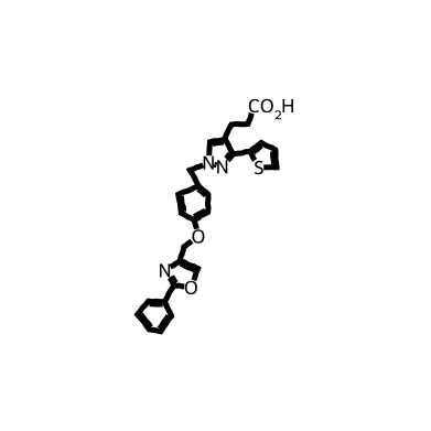 O=C(O)CCc1cn(Cc2ccc(OCc3coc(-c4ccccc4)n3)cc2)nc1-c1cccs1